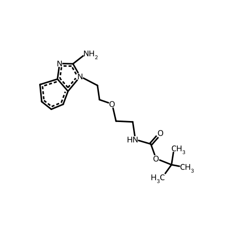 CC(C)(C)OC(=O)NCCOCCn1c(N)nc2ccccc21